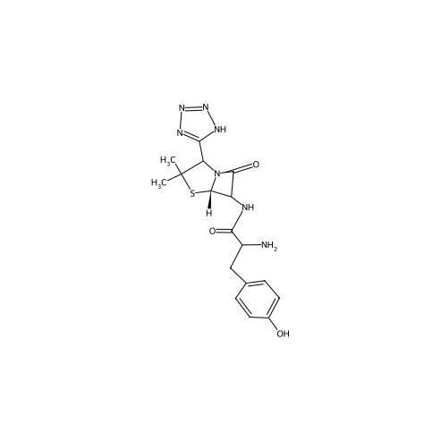 CC1(C)S[C@H]2C(NC(=O)C(N)Cc3ccc(O)cc3)C(=O)N2C1c1nnn[nH]1